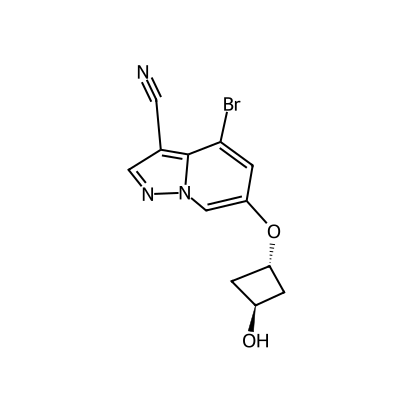 N#Cc1cnn2cc(O[C@H]3C[C@H](O)C3)cc(Br)c12